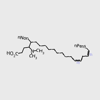 CCCCC/C=C\C/C=C\CCCCCCCCCC(CCCCCCCCC)C(CCC(=O)O)N(C)C